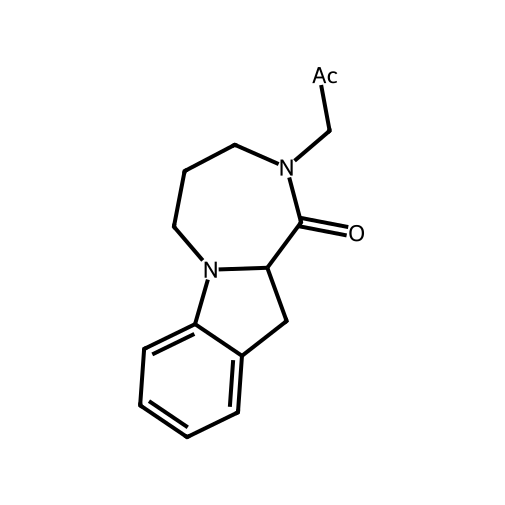 CC(=O)CN1CCCN2c3ccccc3CC2C1=O